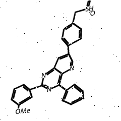 COc1cccc(-c2nc(-c3ccccc3)c3ncc(-c4ccc(C[SH](=O)=O)cc4)cc3n2)c1